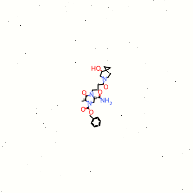 C[C@H]1C(=O)N(CCCC(=O)N2CCC3(CC3)C(O)C2)[C@@H](C(N)=O)CN1C(=O)OCc1ccccc1